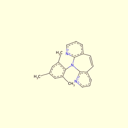 Cc1cc(C)c(N2c3ncccc3C=Cc3cccnc32)c(C)c1